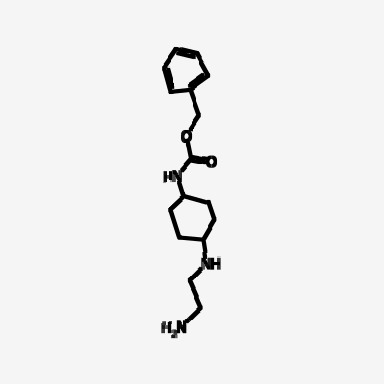 NCCNC1CCC(NC(=O)OCc2ccccc2)CC1